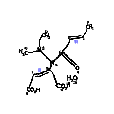 C/C=C/C(=O)N(/C(=C/C(=O)O)C(=O)O)N(C)C.O